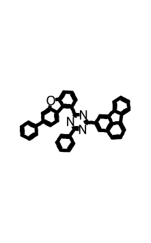 c1ccc(-c2ccc3c(c2)oc2cccc(-c4nc(-c5ccccc5)nc(-c5cc6c7c(cccc7c5)-c5ccccc5-6)n4)c23)cc1